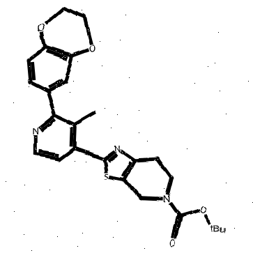 Cc1c(-c2nc3c(s2)CN(C(=O)OC(C)(C)C)CC3)ccnc1-c1ccc2c(c1)OCCO2